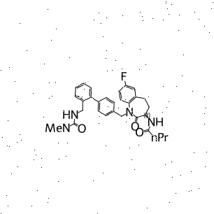 CCCC(=O)N[C@@H]1CCc2cc(F)ccc2N(Cc2ccc(-c3ccccc3CNC(=O)NC)cc2)C1=O